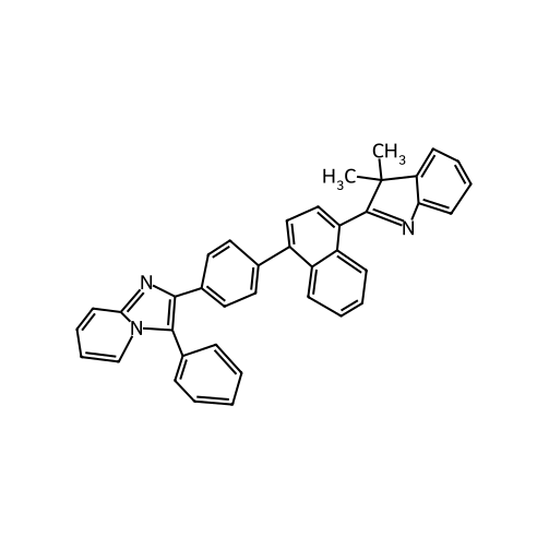 CC1(C)C(c2ccc(-c3ccc(-c4nc5ccccn5c4-c4ccccc4)cc3)c3ccccc23)=Nc2ccccc21